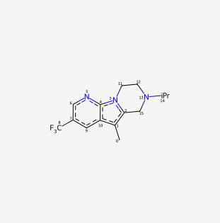 Cc1c2n(c3ncc(C(F)(F)F)cc13)CCN(C(C)C)C2